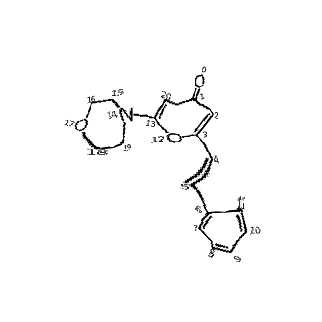 O=c1cc(/C=C/c2ccccc2)oc(N2CCOCC2)c1